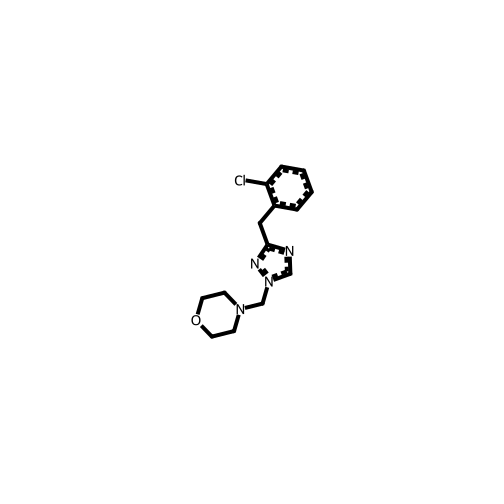 Clc1ccccc1Cc1ncn(CN2CCOCC2)n1